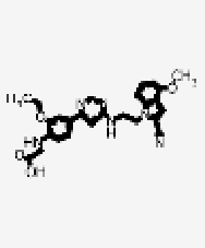 CCOc1cc(-c2cc(NCCn3c(C#N)cc4c(OC)cccc43)ncn2)ccc1NCC(=O)O